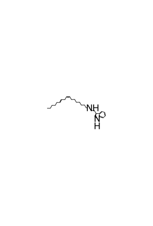 CCCCCC=CC/C=C\CCCCCCCNCCc1c[nH]c2ccccc12